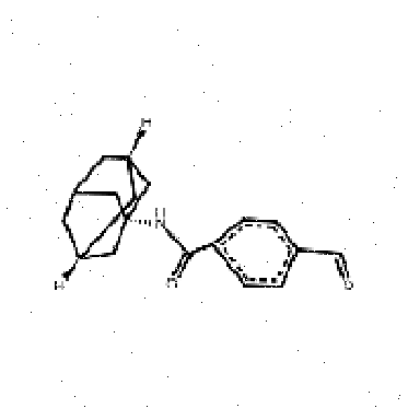 O=Cc1ccc(C(=O)N[C@]23CC4C[C@H](C[C@H](C4)C2)C3)cc1